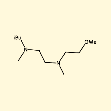 CCC(C)N(C)CCN(C)CCOC